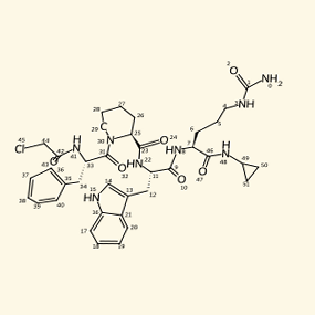 NC(=O)NCCC[C@H](NC(=O)[C@H](Cc1c[nH]c2ccccc12)NC(=O)[C@@H]1CCCCN1C(=O)[C@H](Cc1ccccc1)NC(=O)CCl)C(=O)NC1CC1